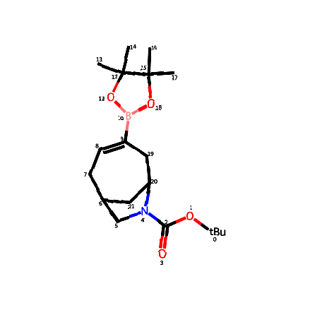 CC(C)(C)OC(=O)N1CC2CC=C(B3OC(C)(C)C(C)(C)O3)CC1C2